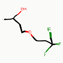 [CH2]C(O)COCC(F)(F)F